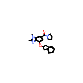 Cc1nc2c(OC3Cc4ccccc4C3)cc(C(=O)N3CCCC3)cc2n1C